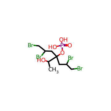 CC(O)C(CC(Br)CBr)(CC(Br)CBr)OP(=O)(O)O